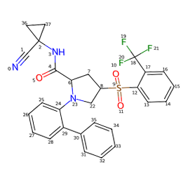 N#CC1(NC(=O)C2CC(S(=O)(=O)c3ccccc3C(F)(F)F)CN2c2ccccc2-c2ccccc2)CC1